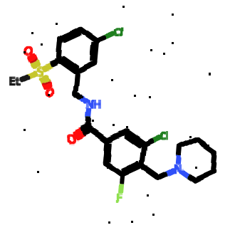 CCS(=O)(=O)c1ccc(Cl)cc1CNC(=O)c1cc(F)c(CN2CCCCC2)c(Cl)c1